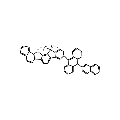 CC1(C)c2ccc(-c3c4ccccc4c(-c4ccc5ccccc5c4)c4ccccc34)cc2-c2ccc3c(oc4c5ccccc5ccc34)c21